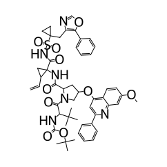 C=CC1CC1(NC(=O)C1CC(Oc2cc(-c3ccccc3)nc3cc(OC)ccc23)CN1C(=O)C(NC(=O)OC(C)(C)C)C(C)(C)C)C(=O)NS(=O)(=O)C1(Cc2ncoc2-c2ccccc2)CC1